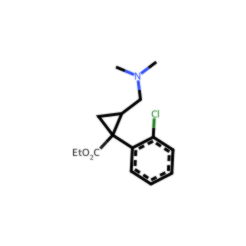 CCOC(=O)C1(c2ccccc2Cl)CC1CN(C)C